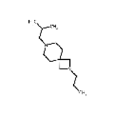 CCCN1CC2(CCN(CC(C)C)CC2)C1